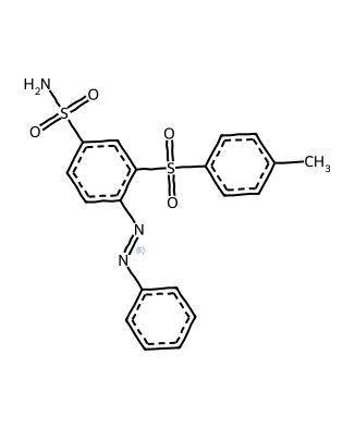 Cc1ccc(S(=O)(=O)c2cc(S(N)(=O)=O)ccc2/N=N/c2ccccc2)cc1